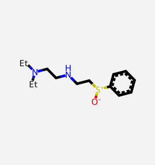 CCN(CC)CCNCC[S+]([O-])c1ccccc1